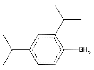 Bc1ccc(C(C)C)cc1C(C)C